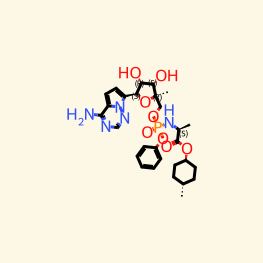 C[C@H](NP(=O)(OC[C@@]1(C)O[C@@H](c2ccc3c(N)ncnn23)[C@H](O)[C@@H]1O)Oc1ccccc1)C(=O)O[C@H]1CC[C@H](C)CC1